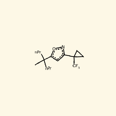 CCCC(C)(CCC)c1cc(C2(C(F)(F)F)CC2)no1